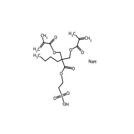 C=C(C)C(=O)OCC(CCCC)(COC(=O)C(=C)C)C(=O)OCCS(=O)(=O)O.[NaH]